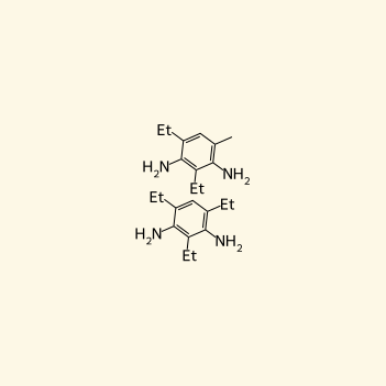 CCc1cc(C)c(N)c(CC)c1N.CCc1cc(CC)c(N)c(CC)c1N